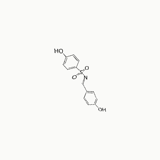 O=S(=O)(N=Cc1ccc(O)cc1)c1ccc(O)cc1